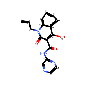 C=CCn1c(=O)c(C(=O)Nc2cnccn2)c(O)c2ccccc21